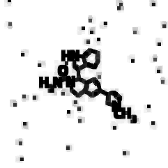 Cn1ccc(-c2ccc3c(c2)CCN(C(N)=O)C3c2c[nH]c3ccccc23)c1